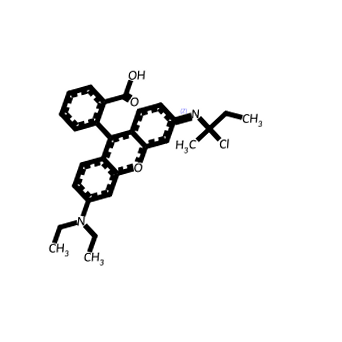 CCN(CC)c1ccc2c(-c3ccccc3C(=O)O)c3cc/c(=N/C(C)(Cl)CC)cc-3oc2c1